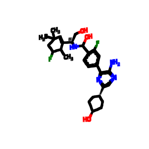 BC1(C)C=C([C@@H](CO)NC(O)c2ccc(-c3nc([C@H]4CC[C@H](O)CC4)cnc3N)cc2F)C(C)C(F)C1